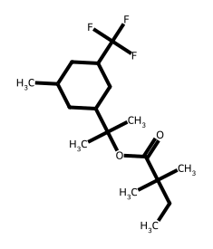 CCC(C)(C)C(=O)OC(C)(C)C1CC(C)CC(C(F)(F)F)C1